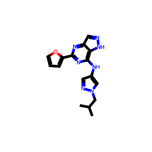 CC(C)Cn1cc(Nc2nc(-c3ccco3)nc3cn[nH]c23)cn1